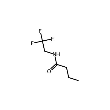 CCCC(=O)NCC(F)(F)F